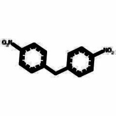 O=[N+]([O-])c1ccc(Cc2ccc([N+](=O)[O-])cc2)cc1